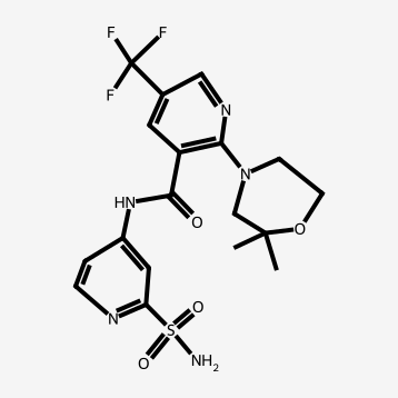 CC1(C)CN(c2ncc(C(F)(F)F)cc2C(=O)Nc2ccnc(S(N)(=O)=O)c2)CCO1